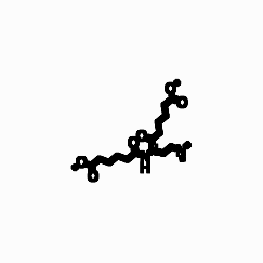 COC(=O)CCCCC(=O)NN(CCN(C)C)C(=O)CCCCC(=O)OC